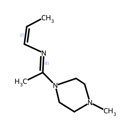 C/C=C\N=C(/C)N1CCN(C)CC1